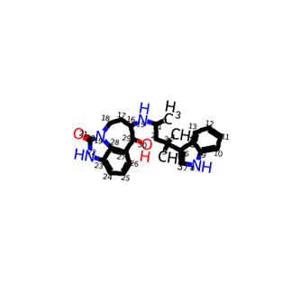 CC(CC(C)(C)c1c[nH]c2ccccc12)NC1CCn2c(=O)[nH]c3cccc(c32)C1O